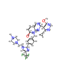 COc1ncnc(C2CC2)c1-c1ncc2ccc(=O)n(Cc3ccc(-c4nc(C(F)(F)F)cn4CCN4CCN(C)CC4)cc3)c2n1